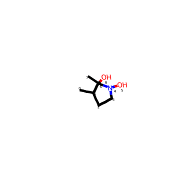 CC1CCN(O)C1(C)O